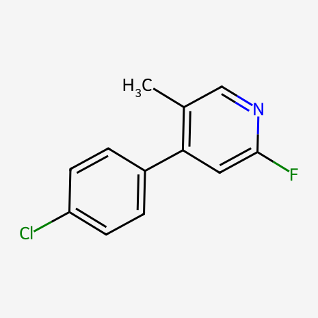 Cc1cnc(F)cc1-c1ccc(Cl)cc1